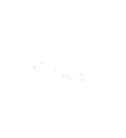 BNc1ccc2cc(B3OC(C)(C)C(C)(C)O3)ccc2c1